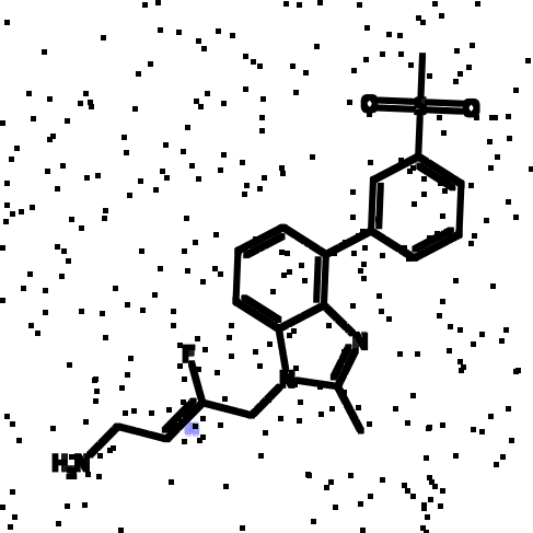 Cc1nc2c(-c3cccc(S(C)(=O)=O)c3)cccc2n1C/C(F)=C/CN